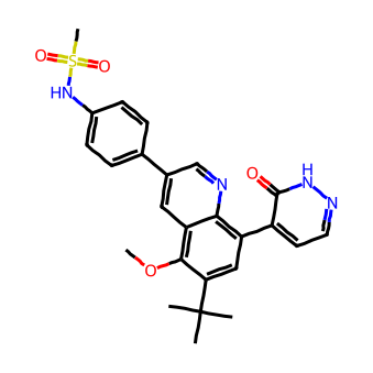 COc1c(C(C)(C)C)cc(-c2ccn[nH]c2=O)c2ncc(-c3ccc(NS(C)(=O)=O)cc3)cc12